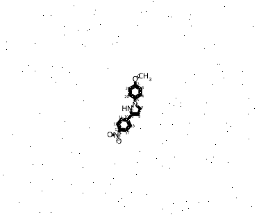 COc1ccc(N2CC=C(c3ccc([N+](=O)[O-])cc3)N2)cc1